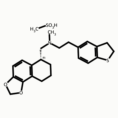 CN(CCc1ccc2c(c1)CCS2)C[C@@H]1CCCc2c1ccc1c2OCO1.CS(=O)(=O)O